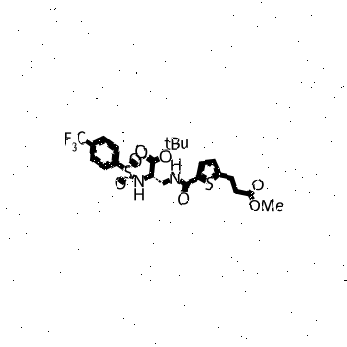 COC(=O)CCc1ccc(C(=O)NC[C@H](NS(=O)(=O)c2ccc(C(F)(F)F)cc2)C(=O)OC(C)(C)C)s1